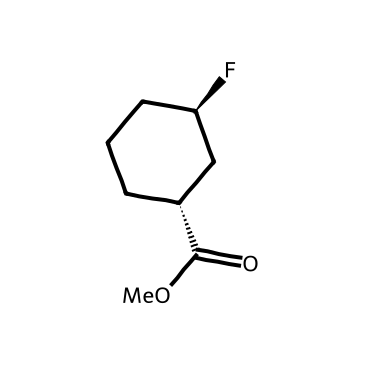 COC(=O)[C@@H]1CCC[C@@H](F)C1